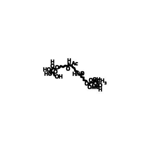 COC(OCCCCC(=O)NCCCC[C@@H](NC(=O)CCCCOC1OC(CO)C(O)C(O)C1O)C(C)=O)C(O)C(O)C(O)C(C)CO